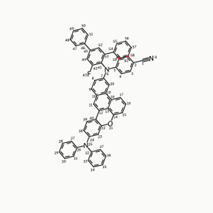 N#Cc1ccc(N(c2ccc3cc4c5c(cccc5c3c2)Oc2cc(N(c3ccccc3)c3ccccc3)ccc2-4)c2c(F)cc(-c3ccccc3)cc2-c2ccccc2)cc1